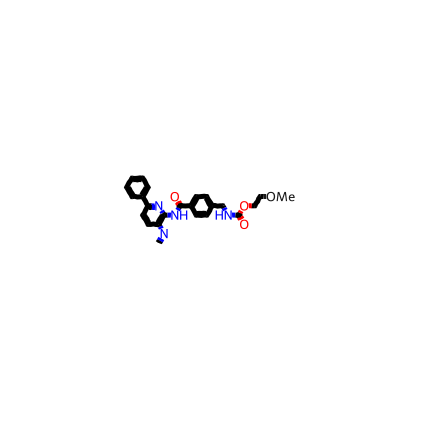 C=Nc1ccc(-c2ccccc2)nc1NC(=O)c1ccc(CNC(=O)OCCOC)cc1